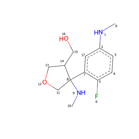 CNc1ccc(F)c(C2(NC)COCC2CO)c1